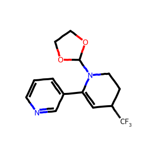 FC(F)(F)C1C=C(c2cccnc2)N(C2OCCO2)CC1